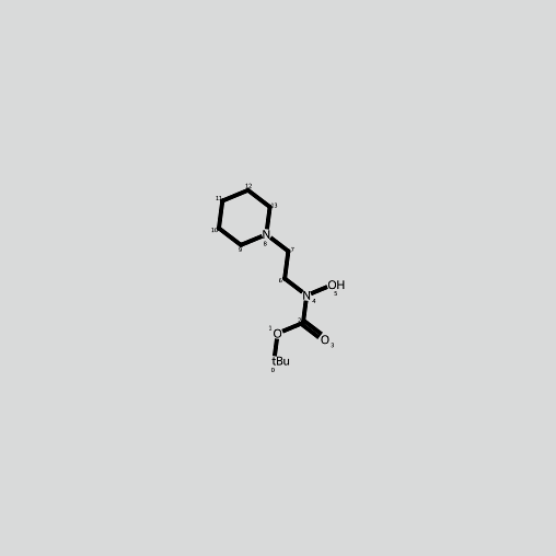 CC(C)(C)OC(=O)N(O)CCN1CCCCC1